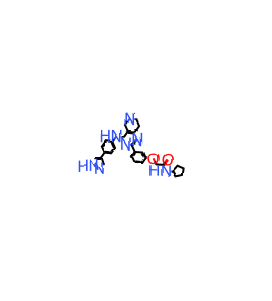 CN1CCc2nc(-c3cccc(OCC(=O)NC4CCCC4)c3)nc(Nc3ccc(-c4cn[nH]c4)cc3)c2C1